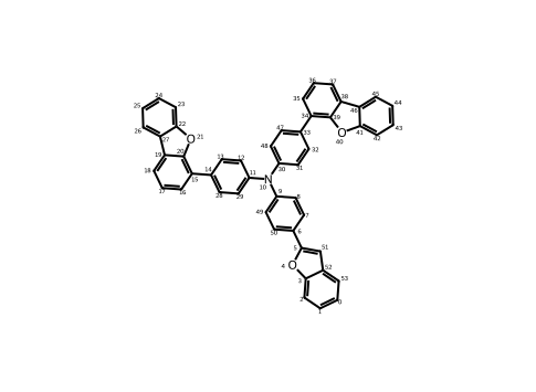 c1ccc2oc(-c3ccc(N(c4ccc(-c5cccc6c5oc5ccccc56)cc4)c4ccc(-c5cccc6c5oc5ccccc56)cc4)cc3)cc2c1